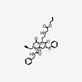 C#CCN1CC(=O)N2[C@@H](CCNCC(=O)OCC=C)C(=O)N([C@@H](C)c3ccccc3)C[C@@H]2N1C(=O)NCc1ccccc1